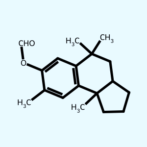 Cc1cc2c(cc1OC=O)C(C)(C)CC1CCCC21C